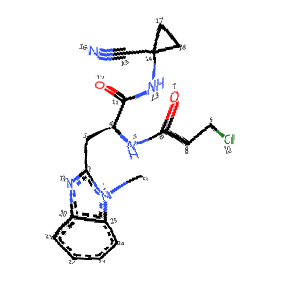 Cn1c(C[C@H](NC(=O)CCCl)C(=O)NC2(C#N)CC2)nc2ccccc21